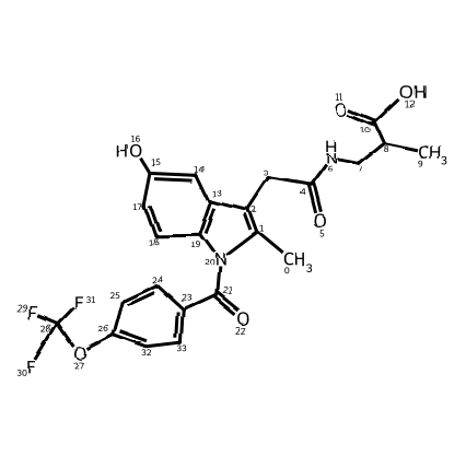 Cc1c(CC(=O)NCC(C)C(=O)O)c2cc(O)ccc2n1C(=O)c1ccc(OC(F)(F)F)cc1